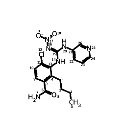 CCCCc1c(C(N)=O)ccc(Cl)c1NC(=N[N+](=O)[O-])Nc1cccnc1